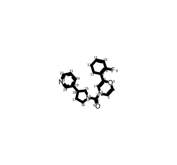 O=C(N1C=COC(C2=C(F)C=CCC2)=C1)N1CCC(c2cccnc2)C1